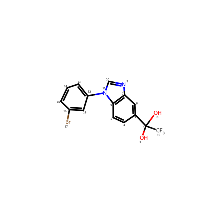 OC(O)(c1ccc2c(c1)ncn2-c1cccc(Br)c1)C(F)(F)F